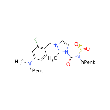 CCCCCN(C)c1ccc(CN2C=CN(C(=O)N(CCCCC)[SH](=O)=O)C2C)c(Cl)c1